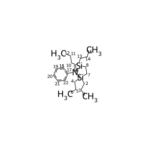 CCC[Si]1(CCC)CC[Si](CCC)(CCC)N1c1ccccc1